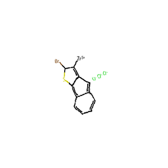 BrC1SC2=c3ccccc3=CC2=[C]1[Zr+3].[Cl-].[Cl-].[Cl-]